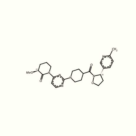 CO[C@H]1CCCN(c2ccnc(N3CCC(C(=O)N4OCC[C@H]4c4ccc(C)nc4)CC3)n2)C1=O